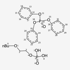 CCCCOCCOP(=O)(O)O.O=P(Oc1ccccc1)(Oc1ccccc1)Oc1ccccc1